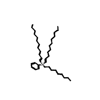 CCCCCCCCCCC=C[Si](C=CCCCCCCCCCC)(CCCCCCCCC)c1ccccc1